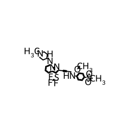 COc1cc(S(C)(=O)=O)ccc1NCC#Cc1nn2c(NC3CCN(C)CC3)cccc2c1SC(F)(F)F